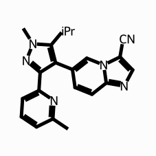 Cc1cccc(-c2nn(C)c(C(C)C)c2-c2ccc3ncc(C#N)n3c2)n1